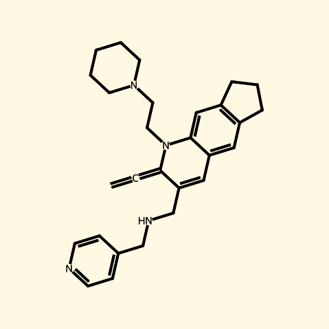 C=C=C1C(CNCc2ccncc2)=Cc2cc3c(cc2N1CCN1CCCCC1)CCC3